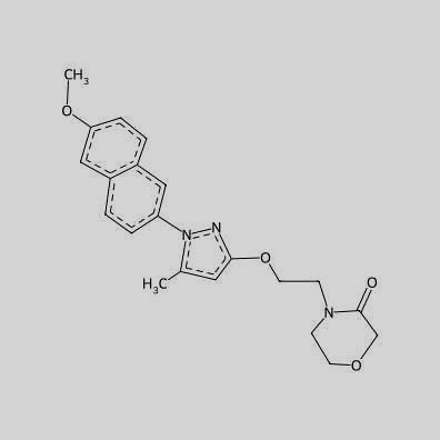 COc1ccc2cc(-n3nc(OCCN4CCOCC4=O)cc3C)ccc2c1